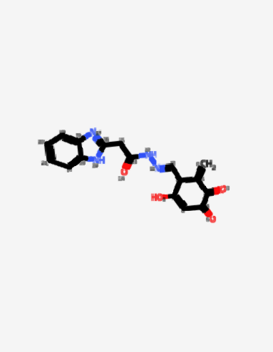 C=C1C(=O)C(=O)C=C(O)C1C=NNC(=O)Cc1nc2ccccc2[nH]1